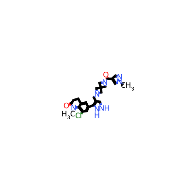 CN1C(=O)CCc2cc(C3=C(CN4CC5(C4)CN(C(=O)c4cnn(C)c4)C5)CNN3)cc(Cl)c21